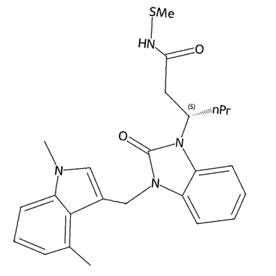 CCC[C@@H](CC(=O)NSC)n1c(=O)n(Cc2cn(C)c3cccc(C)c23)c2ccccc21